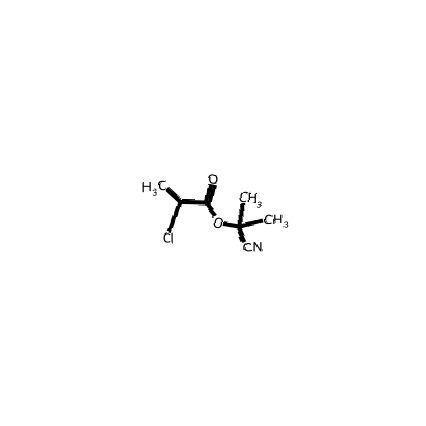 CC(Cl)C(=O)OC(C)(C)C#N